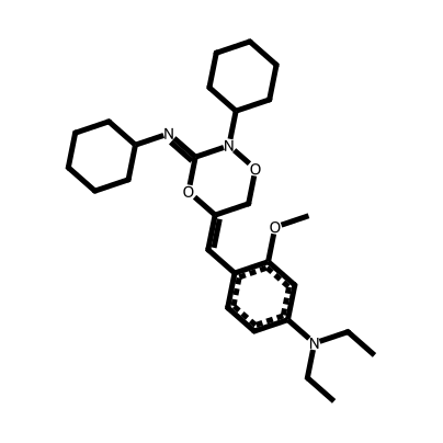 CCN(CC)c1ccc(/C=C2\CON(C3CCCCC3)C(=NC3CCCCC3)O2)c(OC)c1